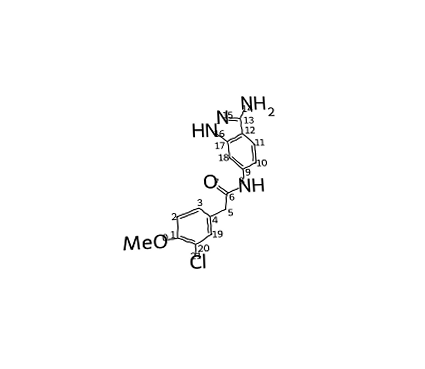 COc1ccc(CC(=O)Nc2ccc3c(N)n[nH]c3c2)cc1Cl